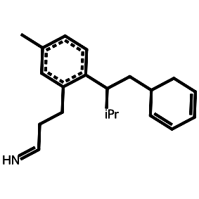 Cc1ccc(C(CC2C=CC=CC2)C(C)C)c(CCC=N)c1